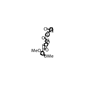 COc1ccc(OC)c(NC(=O)N2CCC3(CC2)CC(C(=O)N2CCN(c4ncccc4Cl)CC2)=NO3)c1